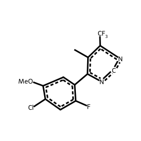 COc1cc(-c2ncnc(C(F)(F)F)c2C)c(F)cc1Cl